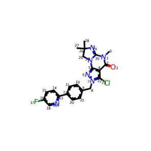 CN1C(=O)c2c(nn(Cc3ccc(-c4ccc(F)cn4)cc3)c2Cl)N2CC(C)(C)N=C12